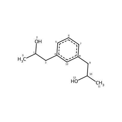 CC(O)Cc1cccc(CC(C)O)c1